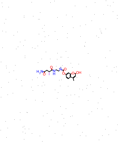 CC1=CC(O)Oc2cc(OC(=O)N(C)CCNC(=O)[C@H](I)CC(N)=O)ccc21